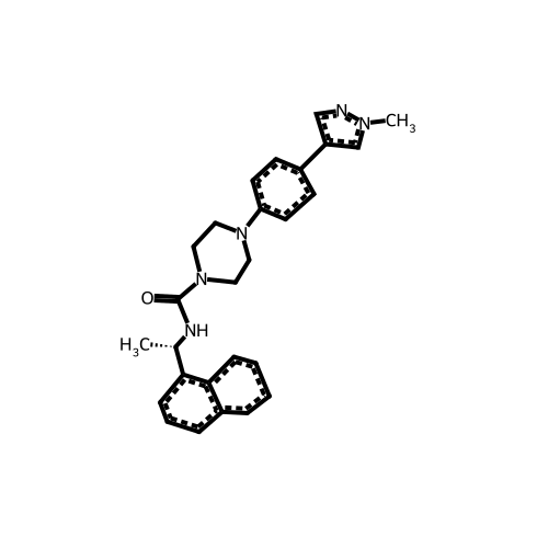 C[C@H](NC(=O)N1CCN(c2ccc(-c3cnn(C)c3)cc2)CC1)c1cccc2ccccc12